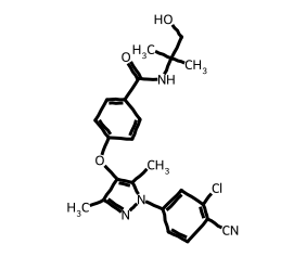 Cc1nn(-c2ccc(C#N)c(Cl)c2)c(C)c1Oc1ccc(C(=O)NC(C)(C)CO)cc1